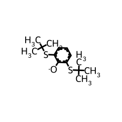 CC(C)(C)Sc1cccc(SC(C)(C)C)c1[O]